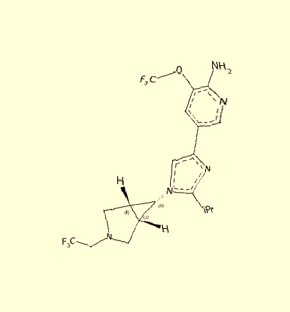 CC(C)c1nc(-c2cnc(N)c(OC(F)(F)F)c2)cn1[C@@H]1[C@@H]2CN(CC(F)(F)F)C[C@@H]21